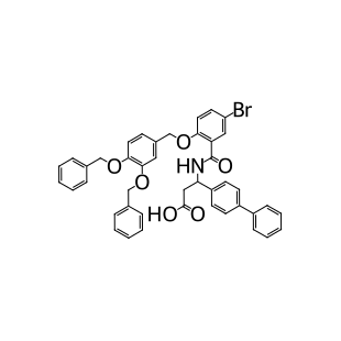 O=C(O)CC(NC(=O)c1cc(Br)ccc1OCc1ccc(OCc2ccccc2)c(OCc2ccccc2)c1)c1ccc(-c2ccccc2)cc1